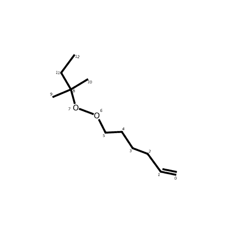 C=CCCCCOOC(C)(C)CC